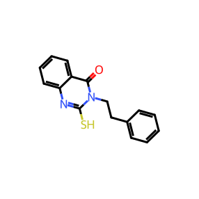 O=c1c2ccccc2nc(S)n1CCc1ccccc1